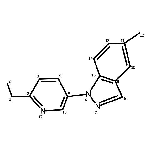 CCc1ccc(-n2ncc3cc(C)ccc32)cn1